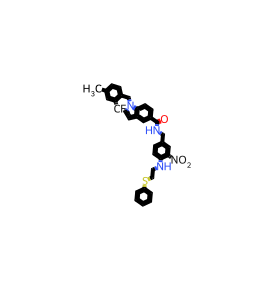 Cc1ccc(Cn2ccc3cc(C(=O)NCc4ccc(NCCSc5ccccc5)c([N+](=O)[O-])c4)ccc32)c(C(F)(F)F)c1